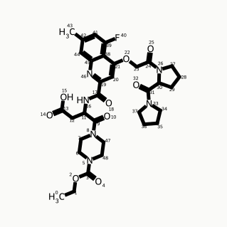 CCOC(=O)N1CCN(C(=O)C(CC(=O)O)NC(=O)c2cc(OCC(=O)N3CCCC3C(=O)N3CCCC3)c3c(F)cc(C)cc3n2)CC1